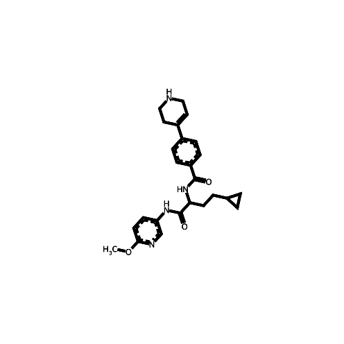 COc1ccc(NC(=O)C(CCC2CC2)NC(=O)c2ccc(C3=CCNCC3)cc2)cn1